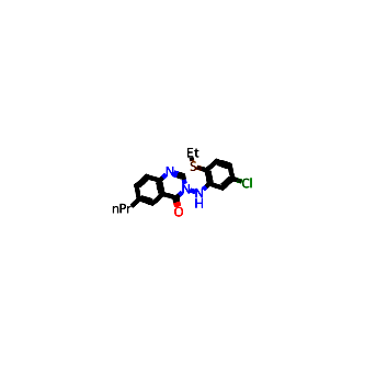 CCCc1ccc2ncn(Nc3cc(Cl)ccc3SCC)c(=O)c2c1